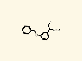 O=CC(CBr)c1cccc(OCc2ccccc2)c1